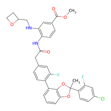 COC(=O)c1ccc(NC(=O)Cc2ccc(-c3cccc4c3OC(C)(c3ccc(Cl)cc3F)O4)c(F)c2)c(NCC2CCO2)c1